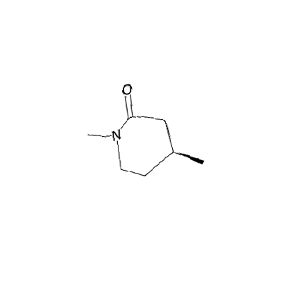 C[C@H]1CCN(C)C(=O)C1